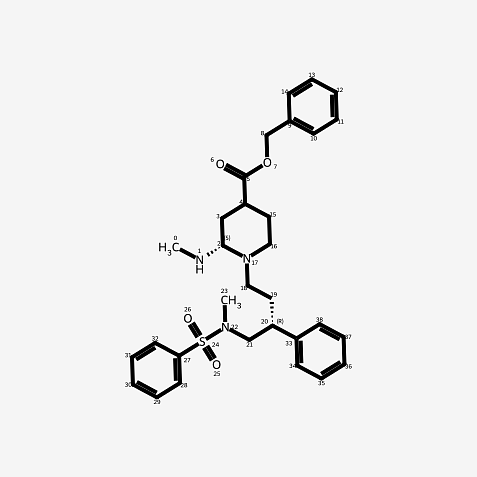 CN[C@@H]1CC(C(=O)OCc2ccccc2)CCN1CC[C@@H](CN(C)S(=O)(=O)c1ccccc1)c1ccccc1